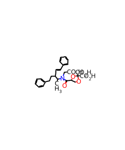 CC(C(/C=C/c1ccccc1)CCc1ccccc1)N(CC(=O)O)C(=O)C1COC(C(=O)O)(C(=O)O)O1